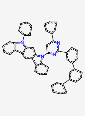 c1ccc(-c2cccc(-c3cccc(-c4nc(-c5ccccc5)cc(-n5c6ccccc6c6cc7c8ccccc8n(-c8ccccc8)c7cc65)n4)c3)c2)cc1